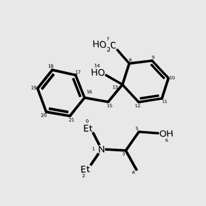 CCN(CC)C(C)CO.O=C(O)C1C=CC=CC1(O)Cc1ccccc1